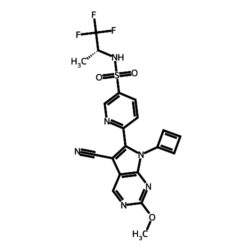 COc1ncc2c(C#N)c(-c3ccc(S(=O)(=O)N[C@H](C)C(F)(F)F)cn3)n(C3=CC=C3)c2n1